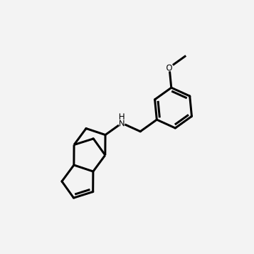 COc1cccc(CNC2CC3CC2C2C=CCC32)c1